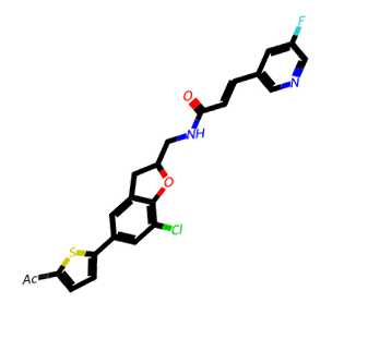 CC(=O)c1ccc(-c2cc(Cl)c3c(c2)CC(CNC(=O)C=Cc2cncc(F)c2)O3)s1